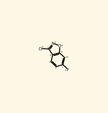 Fc1ccc2c(Cl)noc2c1